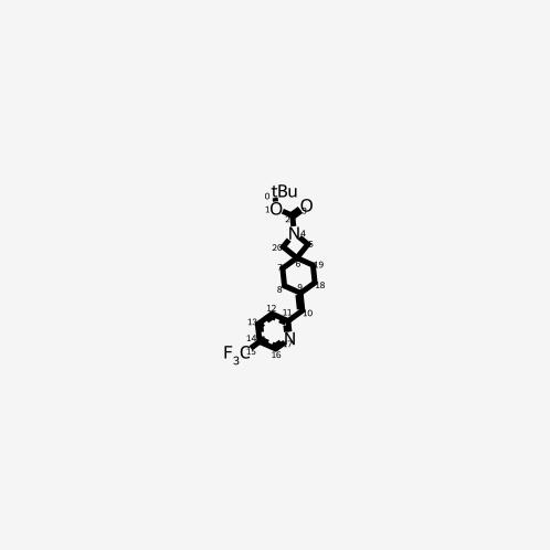 CC(C)(C)OC(=O)N1CC2(CCC(=Cc3ccc(C(F)(F)F)cn3)CC2)C1